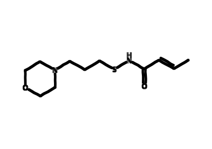 CC=CC(=O)NSCCCN1CCOCC1